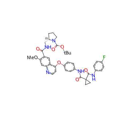 COc1cc2nccc(Oc3ccc(NC(=O)C4(C(=O)Nc5ccc(F)cc5)CC4)cc3)c2cc1C(=O)NC[C@@H]1CCCN1C(=O)OC(C)(C)C